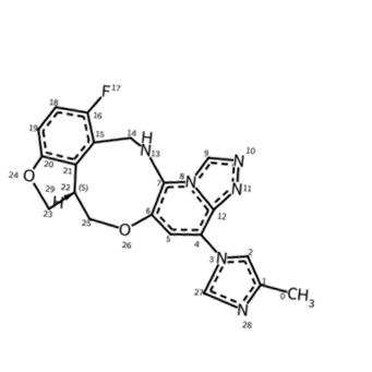 Cc1cn(-c2cc3c(n4cnnc24)NCc2c(F)ccc4c2[C@@H](CO4)CO3)cn1